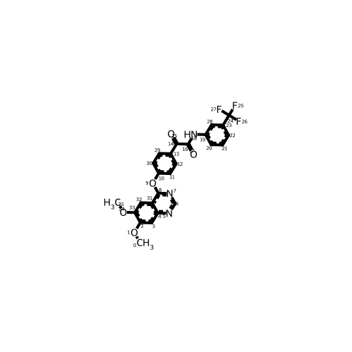 COc1cc2ncnc(Oc3ccc(C(=O)C(=O)Nc4cccc(C(F)(F)F)c4)cc3)c2cc1OC